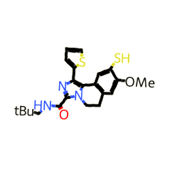 COc1cc2c(cc1S)-c1c(-c3cccs3)nc(C(=O)NCC(C)(C)C)n1CC2